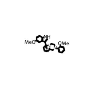 COc1ccc2[nH]cc(C34CCC(CC3)C3CN(c5ccccc5OC)CCN34)c2c1